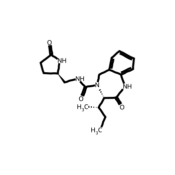 CC[C@H](C)[C@H]1C(=O)Nc2ccccc2CN1C(=O)NC[C@H]1CCC(=O)N1